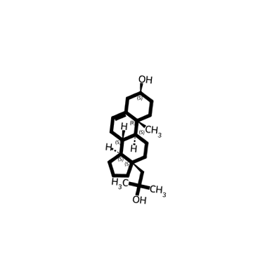 CC(C)(O)C[C@@]12CCC[C@H]1[C@@H]1CC=C3C[C@@H](O)CC[C@]3(C)[C@H]1CC2